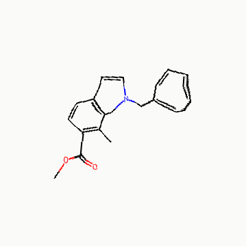 COC(=O)c1ccc2ccn(Cc3ccccc3)c2c1C